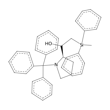 C[Si](CC(O)[C@H]1CCCN1C(c1ccccc1)(c1ccccc1)c1ccccc1)(c1ccccc1)c1ccccc1